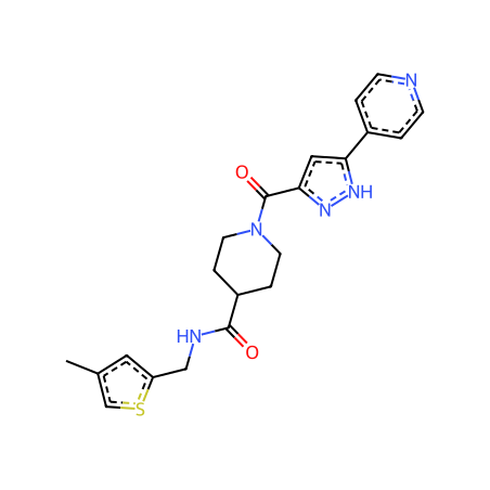 Cc1csc(CNC(=O)C2CCN(C(=O)c3cc(-c4ccncc4)[nH]n3)CC2)c1